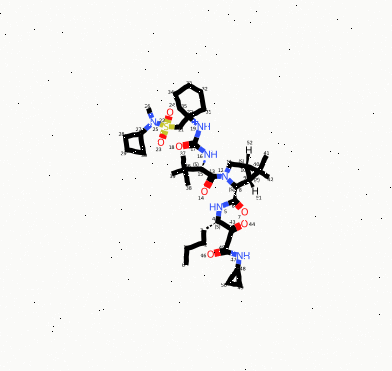 CCCC[C@H](NC(=O)[C@@H]1[C@@H]2[C@H](CN1C(=O)[C@@H](NC(=O)NC1(CS(=O)(=O)N(C)C3CCC3)CCCCC1)C(C)(C)C)C2(C)C)C(=O)C(=O)NC1CC1